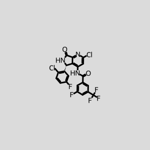 O=C(Nc1cc(Cl)nc2c1[C@H](c1cc(F)ccc1Cl)NC2=O)c1cc(F)cc(C(F)(F)F)c1